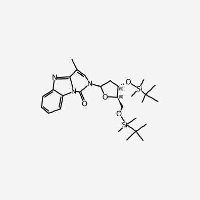 Cc1cn([C]2C[C@H](O[Si](C)(C)C(C)(C)C)[C@@H](CO[Si](C)(C)C(C)(C)C)O2)c(=O)n2c1nc1ccccc12